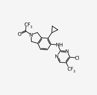 O=C(N1Cc2ccc(Nc3ncc(C(F)(F)F)c(Cl)n3)c(C3CC3)c2C1)C(F)(F)F